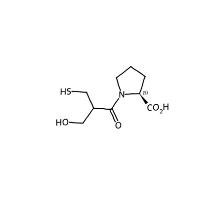 O=C(O)[C@@H]1CCCN1C(=O)C(CO)CS